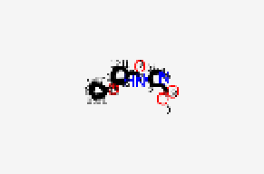 COC(=O)c1cc(NC(=O)c2cccc(Oc3ccccc3)c2)ccn1